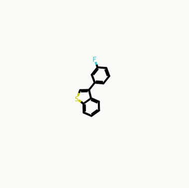 Fc1cccc(-c2csc3ccccc23)c1